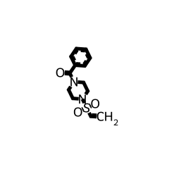 C=CS(=O)(=O)N1CCN(C(=O)c2ccccc2)CC1